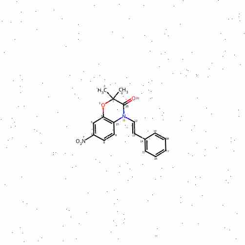 CC1(C)Oc2cc([N+](=O)[O-])ccc2N(C=Cc2ccccc2)C1=O